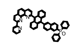 O=P(c1ccccc1)(c1ccccc1)c1ccc2cc(-c3c4ccccc4c(-c4ccc5ccc6ccc(-c7ccccn7)nc6c5n4)c4ccccc34)ccc2c1